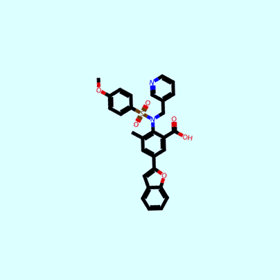 COc1ccc(S(=O)(=O)N(Cc2cccnc2)c2c(C)cc(-c3cc4ccccc4o3)cc2C(=O)O)cc1